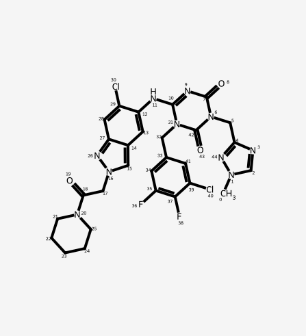 Cn1cnc(Cn2c(=O)nc(Nc3cc4cn(CC(=O)N5CCCCC5)nc4cc3Cl)n(Cc3cc(F)c(F)c(Cl)c3)c2=O)n1